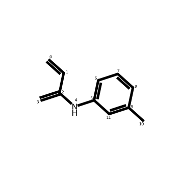 C=CC(=C)Nc1cccc(C)c1